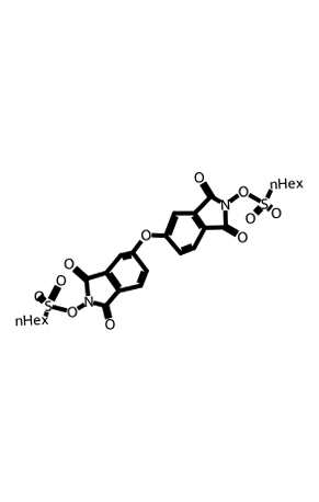 CCCCCCS(=O)(=O)ON1C(=O)c2ccc(Oc3ccc4c(c3)C(=O)N(OS(=O)(=O)CCCCCC)C4=O)cc2C1=O